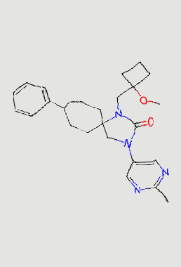 COC1(CN2C(=O)N(c3cnc(C)nc3)CC23CCC(c2ccccc2)CC3)CCC1